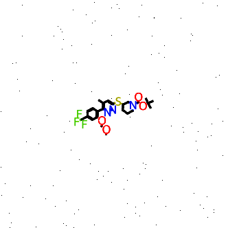 COCOc1cc(C(F)(F)F)ccc1-c1nnc(S[C@@H]2CCCN(C(=O)OC(C)(C)C)C2)cc1C